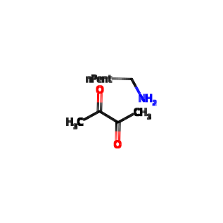 CC(=O)C(C)=O.CCCCCCN